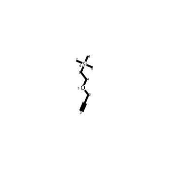 C#CCOCC[Si](C)(C)C